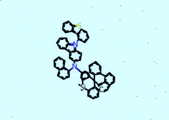 C[Si]1(C)c2ccccc2C2(c3ccccc3-c3cccc4cccc2c34)c2ccc(N(c3ccc4c(c3)c3ccccc3n4-c3cccc4sc5ccccc5c34)c3cccc4ccccc34)cc21